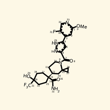 COc1cc(-c2cc(C(=O)N3CC[C@H](C4(C(N)=O)CCC(O)(C(F)(F)F)CC4)CC34CC4)n[nH]2)c(F)cn1